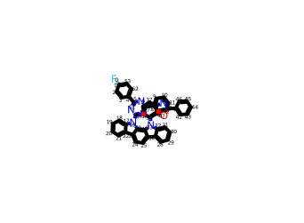 Fc1ccc(-c2nc(-c3ccccc3)nc(-n3c4ccccc4c4ccc5c6ccccc6n(-c6cccc7nc(-c8ccccc8)oc67)c5c43)n2)cc1